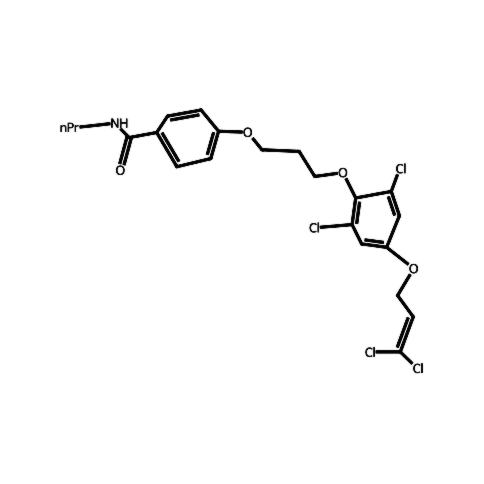 CCCNC(=O)c1ccc(OCCCOc2c(Cl)cc(OCC=C(Cl)Cl)cc2Cl)cc1